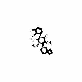 CC1=C(N2CCCC3(CCC3)C2)N(N)C(C)N(c2cccc(Cl)c2Cl)C1=O